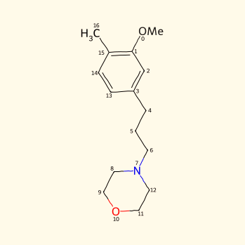 COc1cc(CCCN2CCOCC2)ccc1C